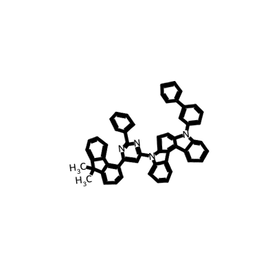 CC1(C)c2ccccc2-c2c(-c3cc(-n4c5ccccc5c5c6c7ccccc7n(-c7cccc(-c8ccccc8)c7)c6ccc54)nc(-c4ccccc4)n3)cccc21